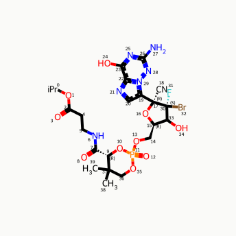 CC(C)OC(=O)CCNC(=O)[C@@H]1OP(=O)(OC[C@H]2O[C@@](C#N)(c3cnc4c(O)nc(N)nn34)[C@@](F)(Br)C2O)OCC1(C)C